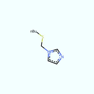 CCCCSCn1ccnc1